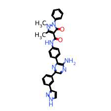 Cc1c(C(=O)Nc2ccc(-c3nc(-c4cccc(-c5cc[nH]n5)c4)cnc3N)cc2)c(=O)n(-c2ccccc2)n1C